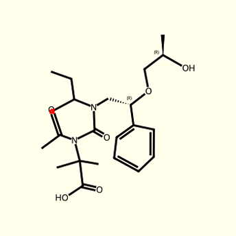 CCC(C)N(C[C@H](OC[C@@H](C)O)c1ccccc1)C(=O)N(C(C)=O)C(C)(C)C(=O)O